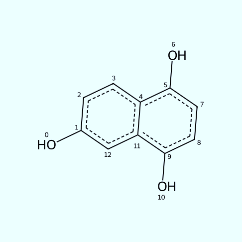 Oc1ccc2c(O)ccc(O)c2c1